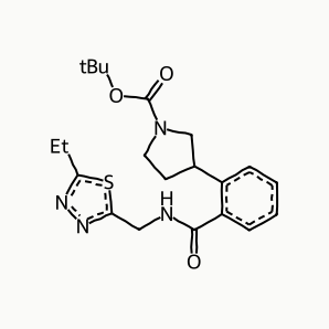 CCc1nnc(CNC(=O)c2ccccc2C2CCN(C(=O)OC(C)(C)C)C2)s1